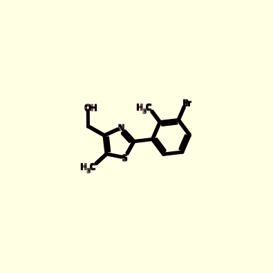 Cc1sc(-c2cccc(Br)c2C)nc1CO